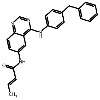 C/C=C/C(=O)Nc1ccc2ncnc(Nc3ccc(Cc4ccccc4)cc3)c2c1